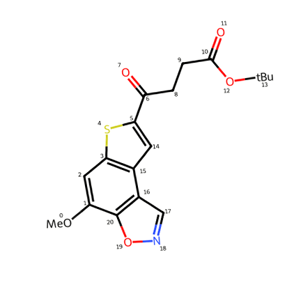 COc1cc2sc(C(=O)CCC(=O)OC(C)(C)C)cc2c2cnoc12